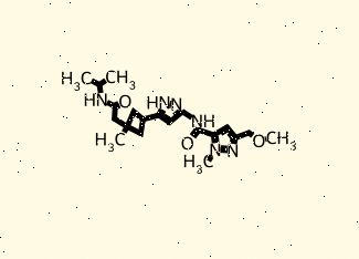 COCc1cc(C(=O)Nc2cc(C3CC(C)(CC(=O)NC(C)C)C3)[nH]n2)n(C)n1